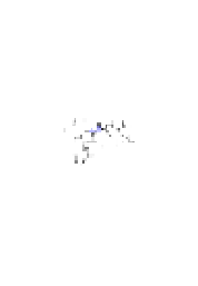 O=C1/C(=N\C2=CC=C(Cl)C(Cl)C2)c2ccccc2N1c1ccsc1